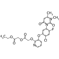 CCOC(=O)COC(=O)COc1ncccc1Oc1cc(-n2c(=O)cc(C)n(C)c2=O)c(F)cc1Cl